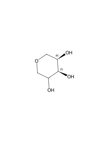 O[C]1COC[C@@H](O)[C@H]1O